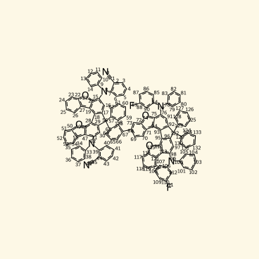 N#Cc1ccccc1N(c1ccccc1)c1cc2c(c3c1oc1ccccc13)-c1c(cc(N(c3ccccc3)c3ccccc3C#N)c3c1oc1ccccc13)C2(c1ccccc1)c1cccc(-c2ccc3c(c2)oc2c(N(c4ccccc4)c4cccc(F)c4)cc4c(c23)-c2c(cc(N(c3ccccc3)c3cccc(F)c3)c3c2oc2ccccc23)C4(c2ccccc2)c2ccccc2)c1